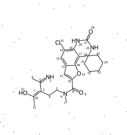 CC(=N)/C(CCN(C)C(=O)c1cc2cc(Cl)c3c(c2o1)C1(CCCCC1)NC(=O)N3)=C(/C)O